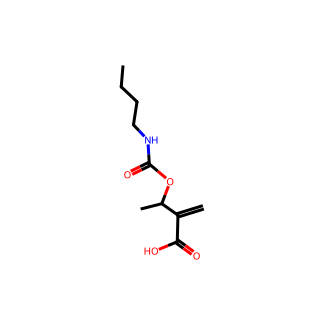 C=C(C(=O)O)C(C)OC(=O)NCCCC